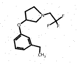 CCc1cccc(OC2CCN(CC(F)(F)F)C2)c1